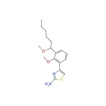 CCCCCC(OC)c1cccc(-c2csc(N)n2)c1OC